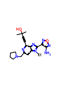 CCn1c(-c2nonc2N)nc2c(C#CC(C)(C)O)nc(CN3CCCC3)cc21